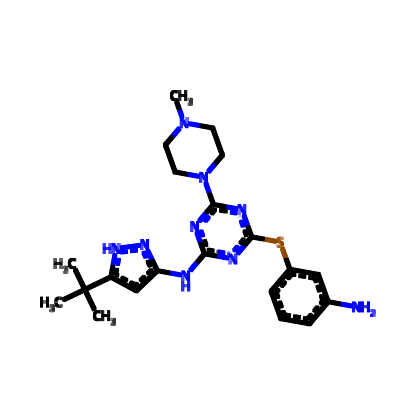 CN1CCN(c2nc(Nc3cc(C(C)(C)C)[nH]n3)nc(Sc3cccc(N)c3)n2)CC1